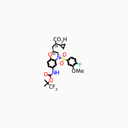 COc1cc(S(=O)(=O)N2C[C@H](C[C@@H](C(=O)O)C3CC3)Oc3ccc(NC(=O)OC(C)(C)C(F)(F)F)cc32)ccc1F